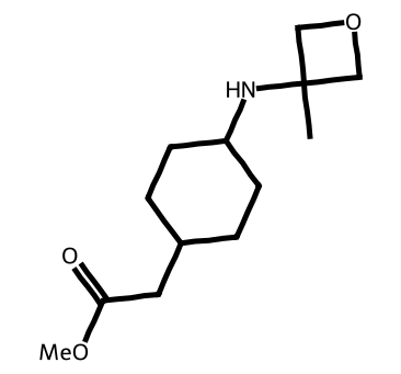 COC(=O)CC1CCC(NC2(C)COC2)CC1